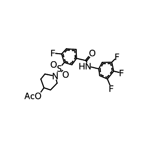 CC(=O)OC1CCN(S(=O)(=O)c2cc(C(=O)Nc3cc(F)c(F)c(F)c3)ccc2F)CC1